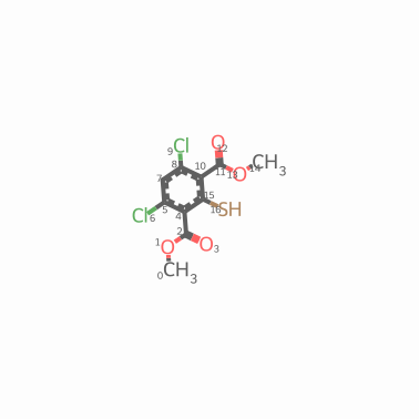 COC(=O)c1c(Cl)cc(Cl)c(C(=O)OC)c1S